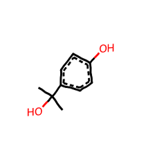 CC(C)(O)c1ccc(O)cc1